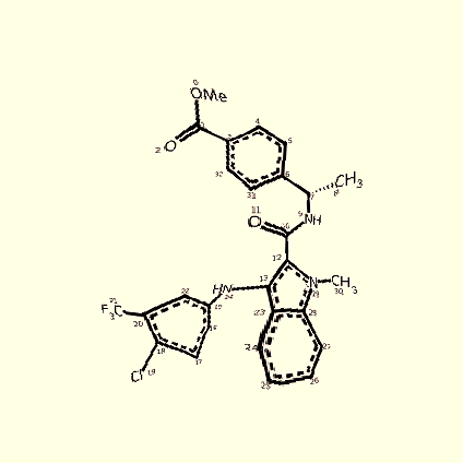 COC(=O)c1ccc([C@H](C)NC(=O)c2c(Nc3ccc(Cl)c(C(F)(F)F)c3)c3ccccc3n2C)cc1